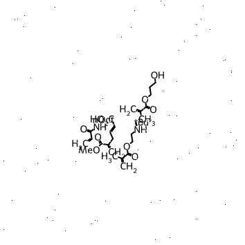 C=C(C)C(=O)OCCCO.C=C(C)C(=O)OCCNC(C)(C)C.C=C(CC=CC(=O)O)C(=O)OC.C=CC(=O)NCCCCCCCC